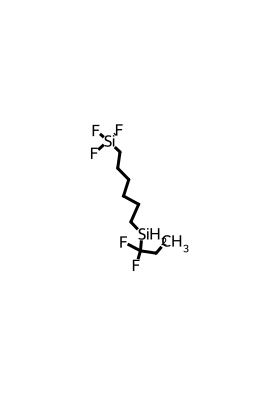 CCC(F)(F)[SiH2]CCCCCC[Si](F)(F)F